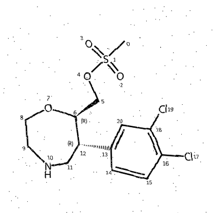 CS(=O)(=O)OC[C@@H]1OCCNC[C@H]1c1ccc(Cl)c(Cl)c1